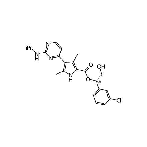 Cc1[nH]c(C(=O)O[C@H](CO)c2cccc(Cl)c2)c(C)c1-c1ccnc(NC(C)C)n1